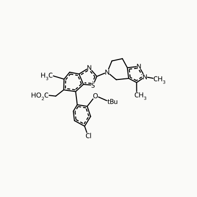 Cc1cc2nc(N3CCc4nn(C)c(C)c4C3)sc2c(-c2ccc(Cl)cc2OC(C)(C)C)c1CC(=O)O